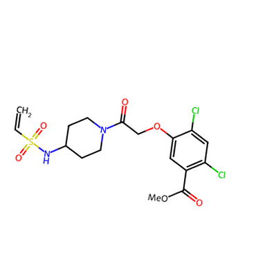 C=CS(=O)(=O)NC1CCN(C(=O)COc2cc(C(=O)OC)c(Cl)cc2Cl)CC1